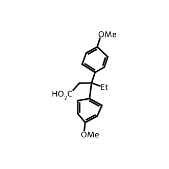 CCC(CC(=O)O)(c1ccc(OC)cc1)c1ccc(OC)cc1